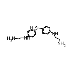 NCCNc1ccc([SiH2]c2ccc(NCCN)cc2)cc1